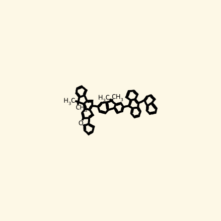 CC1(C)c2cc(-c3cc4c(c5cc6oc7ccccc7c6cc35)C(C)(C)c3ccccc3-4)ccc2-c2ccc(-c3c4ccccc4c(-c4cccc5ccccc45)c4ccccc34)cc21